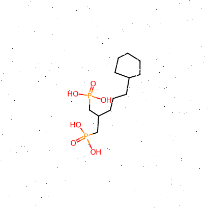 O=P(O)(O)CC(CCCC1CCCCC1)CP(=O)(O)O